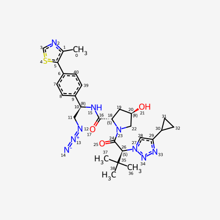 Cc1ncsc1-c1ccc([C@H](CN=[N+]=[N-])NC(=O)[C@@H]2C[C@@H](O)CN2C(=O)[C@@H](n2cc(C3CC3)nn2)C(C)(C)C)cc1